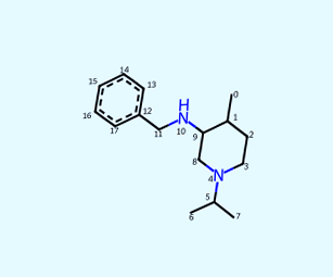 CC1CCN(C(C)C)CC1NCc1ccccc1